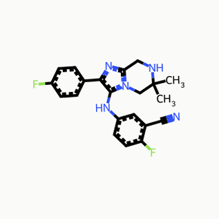 CC1(C)Cn2c(nc(-c3ccc(F)cc3)c2Nc2ccc(F)c(C#N)c2)CN1